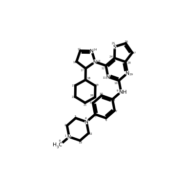 CN1CCN(c2ccc(Nc3nc(N4N=CCC4C4CCCCC4)c4sccc4n3)cc2)CC1